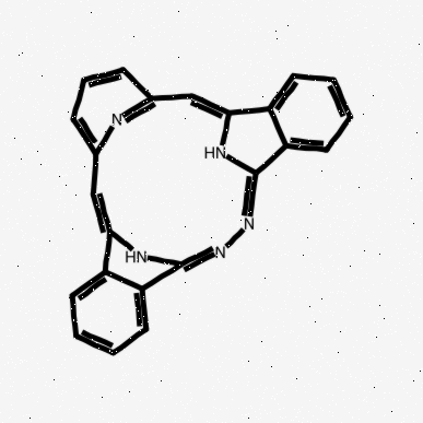 C1=c2\[nH]/c(c3ccccc23)=N\N=c2/[nH]/c(c3ccccc23)=C\c2cccc/1n2